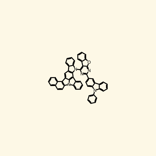 c1ccc(-n2c3ccccc3c3cc(-c4nc(-n5c6ccccc6c6cc7c8c9ccccc9ccc8n8c9ccccc9c(c65)c78)c5c(n4)oc4ccccc45)ccc32)cc1